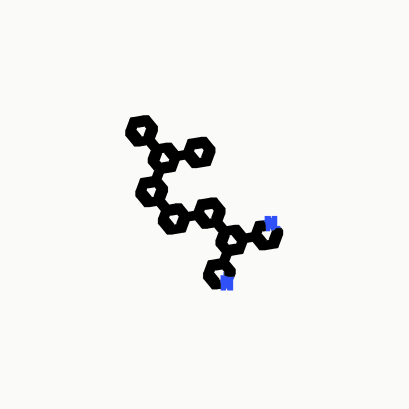 c1ccc(-c2cc(-c3ccccc3)cc(-c3cccc(-c4cccc(-c5cccc(-c6cc(-c7cccnc7)cc(-c7cccnc7)c6)c5)c4)c3)c2)cc1